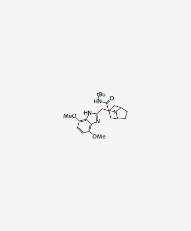 COc1ccc(OC)c2[nH]c(CC3CC4CCC(C3)N4CC(=O)NC(C)(C)C)nc12